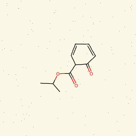 CC(C)OC(=O)C1C=CC=CC1=O